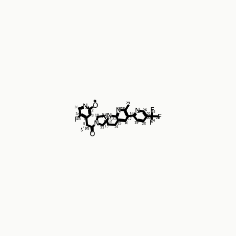 COc1cc([C@@H](C)C(=O)N2CC[C@@]3(CCc4cc(-c5ccc(C(F)(F)F)cn5)c(C)nc4N3)C2)c(F)cn1